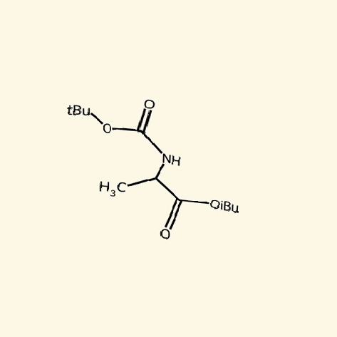 CC(C)COC(=O)C(C)NC(=O)OC(C)(C)C